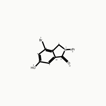 CCCN1Cc2c(Br)cc(O)cc2C1=O